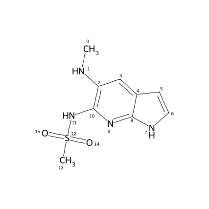 CNc1cc2cc[nH]c2nc1NS(C)(=O)=O